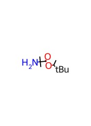 CC(OC(=O)C(C)(C)N)C(C)(C)C